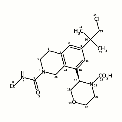 CCNC(=O)N1CCc2cc(C(C)(C)CCl)cc([C@@H]3COCCN3C(=O)O)c2C1